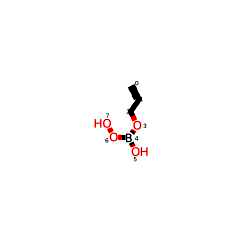 C=CCOB(O)OO